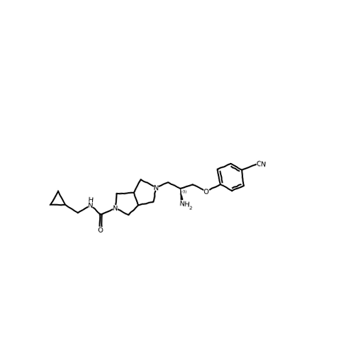 N#Cc1ccc(OC[C@@H](N)CN2CC3CN(C(=O)NCC4CC4)CC3C2)cc1